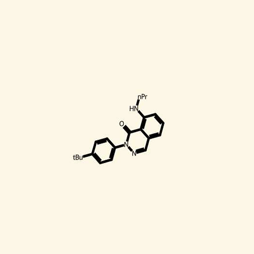 CCCNc1cccc2cnn(-c3ccc(C(C)(C)C)cc3)c(=O)c12